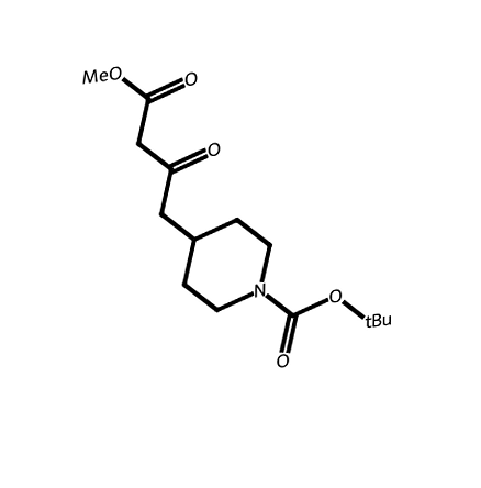 COC(=O)CC(=O)CC1CCN(C(=O)OC(C)(C)C)CC1